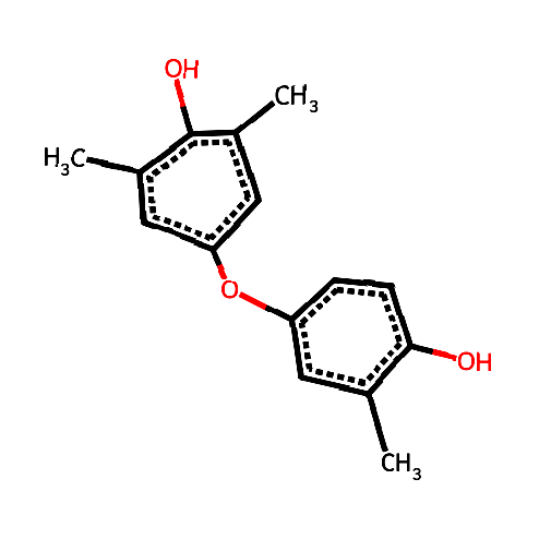 Cc1cc(Oc2cc(C)c(O)c(C)c2)ccc1O